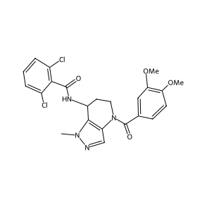 COc1ccc(C(=O)N2CCC(NC(=O)c3c(Cl)cccc3Cl)c3c2cnn3C)cc1OC